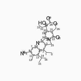 CCc1c2c(nc3cc(C#N)c(C)c(C(C)C)c13)-c1cc3c(c(=O)n1C2)COC(=O)[C@]3(O)CC